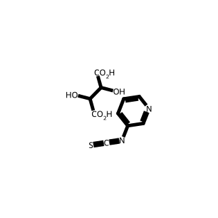 O=C(O)C(O)C(O)C(=O)O.S=C=Nc1cccnc1